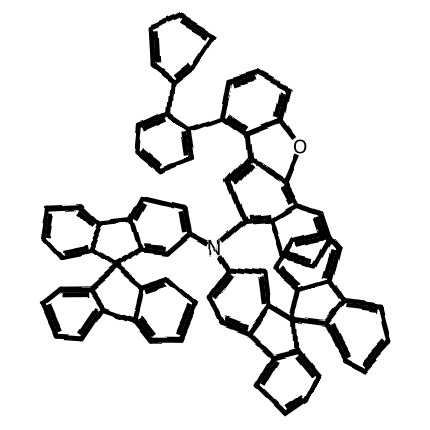 c1ccc(-c2ccccc2-c2cccc3oc4c5ccccc5c(N(c5ccc6c(c5)C5(c7ccccc7-c7ccccc75)c5ccccc5-6)c5ccc6c(c5)C5(c7ccccc7-c7ccccc75)c5ccccc5-6)cc4c23)cc1